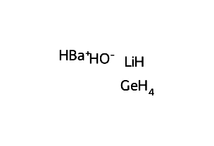 [BaH+].[GeH4].[LiH].[OH-]